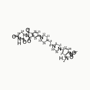 Nc1cc(N2CCN(CCC3CCN(c4ccc5c(c4)C(=O)N(C4CCC(=O)NC4=O)C5=O)CC3)CC2)ccc1[N+](=O)[O-]